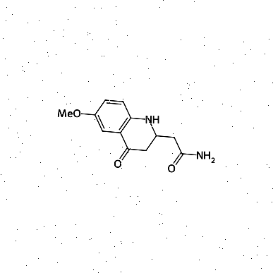 COc1ccc2c(c1)C(=O)CC(CC(N)=O)N2